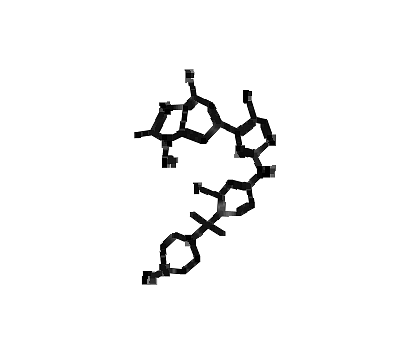 CCN1CCN(C(C)(C)c2ccc(Nc3ncc(F)c(-c4cc(F)c5nc(C)n(C(C)C)c5c4)n3)cc2F)CC1